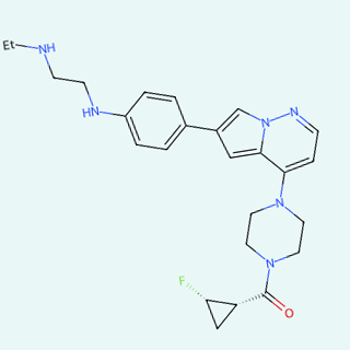 CCNCCNc1ccc(-c2cc3c(N4CCN(C(=O)[C@@H]5C[C@@H]5F)CC4)ccnn3c2)cc1